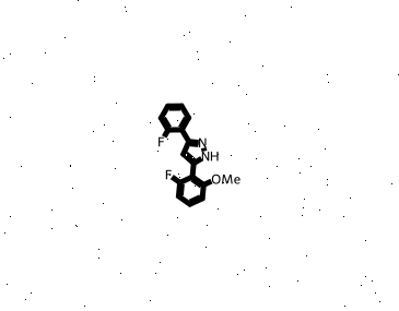 COc1cccc(F)c1-c1cc(-c2ccccc2F)n[nH]1